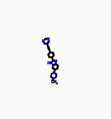 CN1CCN(c2ccc3nc(-c4ccc(C#Cc5cncnc5)cc4)[nH]c3c2)CC1